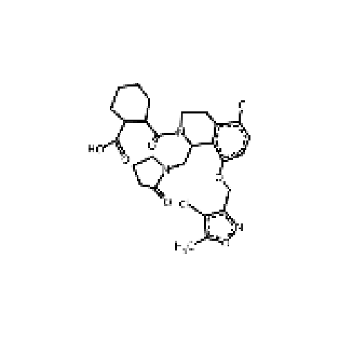 Cc1onc(COc2ccc(Cl)c3c2C(CN2CCCC2=O)N(C(=O)C2CCCCC2C(=O)O)CC3)c1Cl